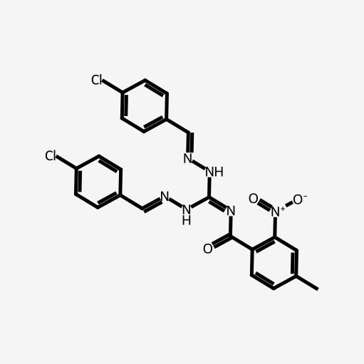 Cc1ccc(C(=O)N=C(NN=Cc2ccc(Cl)cc2)NN=Cc2ccc(Cl)cc2)c([N+](=O)[O-])c1